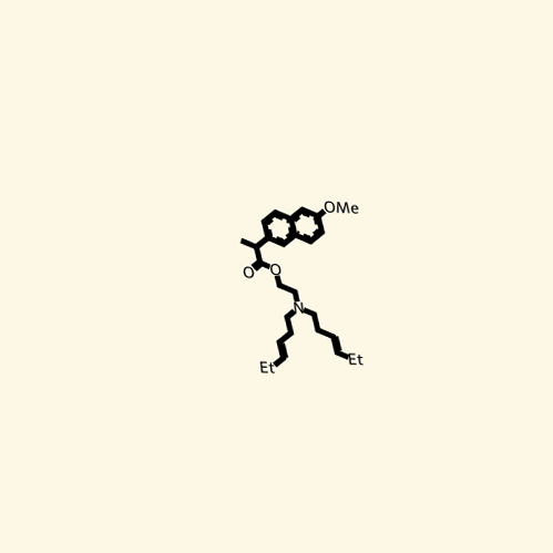 CCC=CCCN(CCC=CCC)CCOC(=O)C(C)c1ccc2cc(OC)ccc2c1